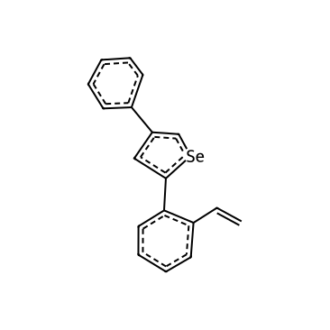 C=Cc1ccccc1-c1cc(-c2ccccc2)c[se]1